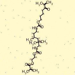 C=C(C)C(=O)CCCCOC(=O)NCCC(C)CC(C)(C)CNC(=O)OCCOC(=O)C(=C)C